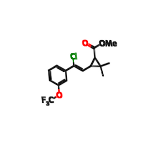 COC(=O)C1C(C=C(Cl)c2cccc(OC(F)(F)F)c2)C1(C)C